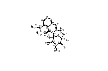 [2H]C1([2H])CC([2H])(n2c(C)nc3cccc(N(C)C)c3c2=O)C(=O)N(C)C1=O